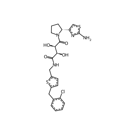 Nc1nc([C@H]2CCCN2C(=O)[C@H](O)[C@@H](O)C(=O)NCc2ccc(Cc3ccccc3Cl)s2)cs1